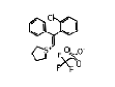 Clc1ccccc1C(=C[S+]1CCCC1)c1ccccc1.O=S(=O)([O-])C(F)(F)F